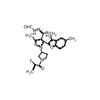 C=C(F)C(=O)N1CCC(n2nc(C)c(/C(N)=N\NC=O)c2-c2oc3ccc(C)cc3c2C)C1